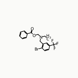 CCN(COC(=O)c1ccccc1)Cc1cc(C(F)(F)F)ccc1Br